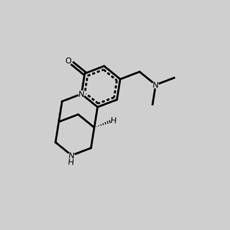 CN(C)Cc1cc2n(c(=O)c1)CC1CNC[C@H]2C1